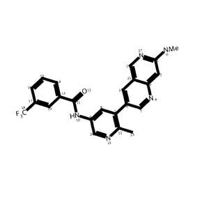 CNc1cc2ncc(-c3cc(NC(=O)c4cccc(C(F)(F)F)c4)cnc3C)cc2cn1